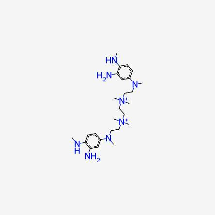 CNc1ccc(N(C)CC[N+](C)(C)CC[N+](C)(C)CCN(C)c2ccc(NC)c(N)c2)cc1N